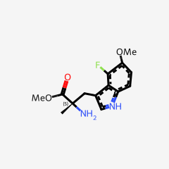 COC(=O)[C@@](C)(N)Cc1c[nH]c2ccc(OC)c(F)c12